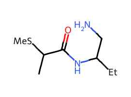 CCC(CN)NC(=O)C(C)SC